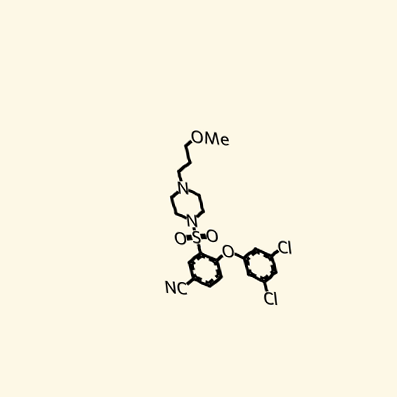 COCCCN1CCN(S(=O)(=O)c2cc(C#N)ccc2Oc2cc(Cl)cc(Cl)c2)CC1